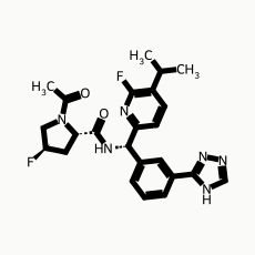 CC(=O)N1C[C@H](F)C[C@H]1C(=O)N[C@@H](c1cccc(-c2nnc[nH]2)c1)c1ccc(C(C)C)c(F)n1